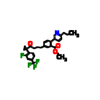 CCCc1ccc(-c2ccc(CCCC(=O)C3(c4ccc(C(F)(F)F)cc4F)CC3)cc2C(=O)OCC)cn1